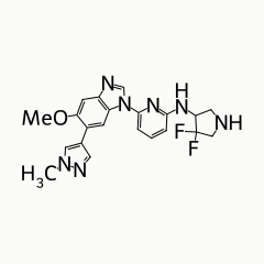 COc1cc2ncn(-c3cccc(NC4CNCC4(F)F)n3)c2cc1-c1cnn(C)c1